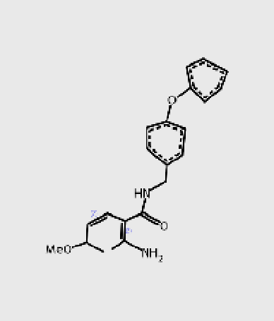 COC(C)/C=C\C(C(=O)NCc1ccc(Oc2ccccc2)cc1)=C(/C)N